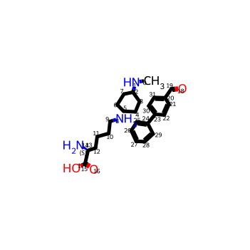 CNC1CCCCC1.NCCCC[C@H](N)C(=O)O.O=Cc1ccc(-c2ccccc2)cc1